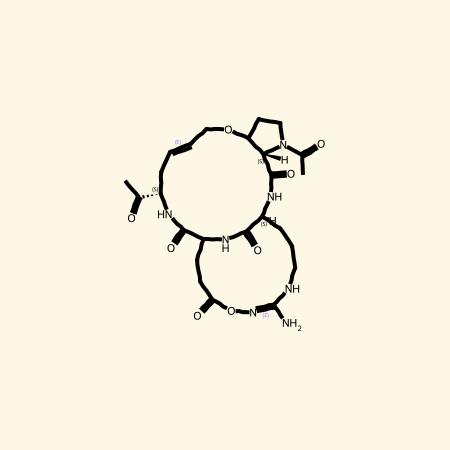 CC(=O)[C@@H]1C/C=C/COC2CCN(C(C)=O)[C@@H]2C(=O)N[C@H]2CCCN/C(N)=N\OC(=O)CCC(NC2=O)C(=O)N1